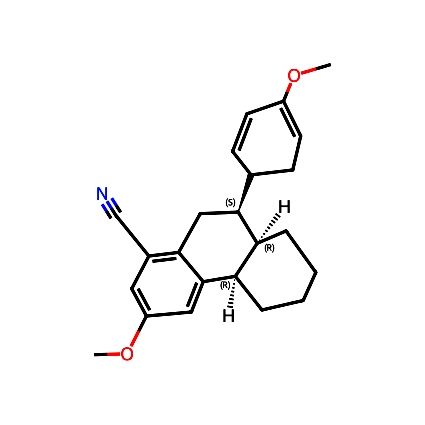 COC1=CCC([C@@H]2Cc3c(C#N)cc(OC)cc3[C@@H]3CCCC[C@@H]32)C=C1